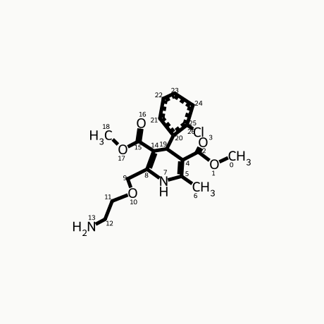 COC(=O)C1=C(C)NC(COCCN)=C(C(=O)OC)C1c1ccccc1Cl